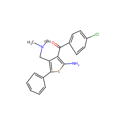 CCCCN(C)Cc1c(-c2ccccc2)sc(N)c1C(=O)c1ccc(Cl)cc1